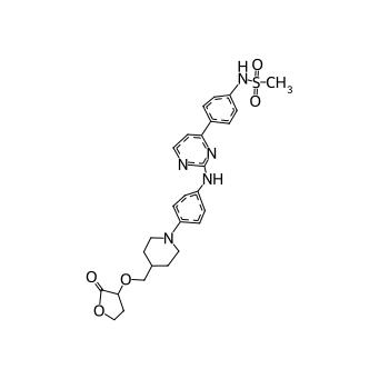 CS(=O)(=O)Nc1ccc(-c2ccnc(Nc3ccc(N4CCC(COC5CCOC5=O)CC4)cc3)n2)cc1